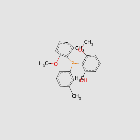 COc1cccc(C)c1P(c1cccc(C)c1O)c1c(C)cccc1OC